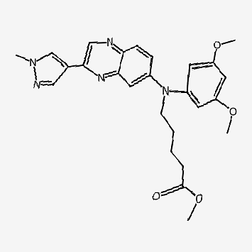 COC(=O)CCCCN(c1cc(OC)cc(OC)c1)c1ccc2ncc(-c3cnn(C)c3)nc2c1